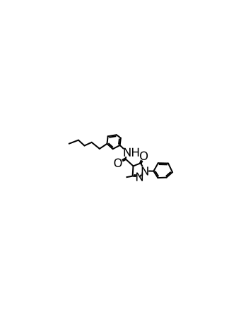 CCCCCc1cccc(NC(=O)C2C(=O)N(c3ccccc3)N=C2C)c1